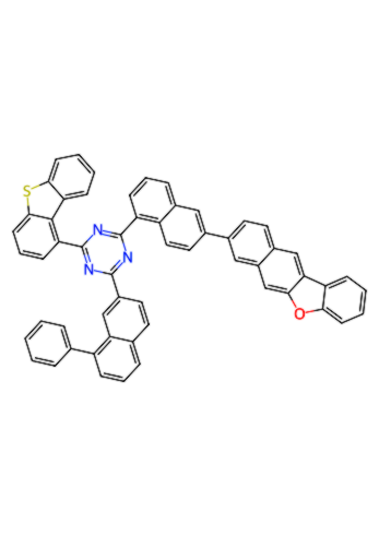 c1ccc(-c2cccc3ccc(-c4nc(-c5cccc6cc(-c7ccc8cc9c(cc8c7)oc7ccccc79)ccc56)nc(-c5cccc6sc7ccccc7c56)n4)cc23)cc1